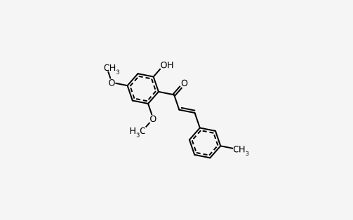 COc1cc(O)c(C(=O)/C=C/c2cccc(C)c2)c(OC)c1